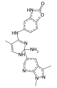 CC1=CNC(N)(c2cnc3c(c2)c(C)nn3C)N=C1Nc1ccc2oc(=O)[nH]c2c1